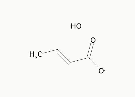 CC=CC([O])=O.[OH]